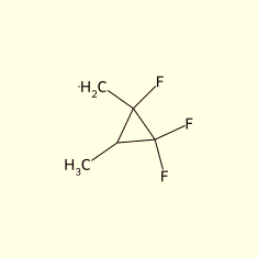 [CH2]C1(F)C(C)C1(F)F